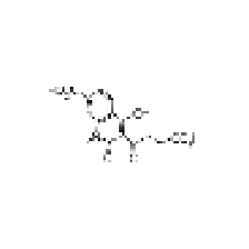 Cn1c(=O)c(C(=O)CCC(=O)O)c(O)c2ccc(C(=O)O)cc21